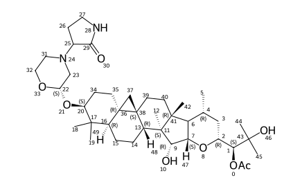 CC(=O)O[C@@H]([C@H]1C[C@@H](C)C2[C@H](O1)[C@H](O)[C@@]1(C)[C@@H]3CC[C@H]4C(C)(C)[C@@H](O[C@H]5CN(C6CCNC6=O)CCO5)CC[C@@]45C[C@@]35CC[C@]21C)C(C)(C)O